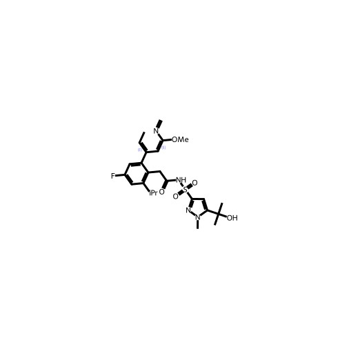 C=N/C(=C\C(=C/C)c1cc(F)cc(C(C)C)c1CC(=O)NS(=O)(=O)c1cc(C(C)(C)O)n(C)n1)OC